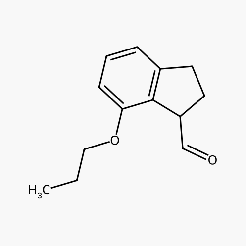 CCCOc1cccc2c1C(C=O)CC2